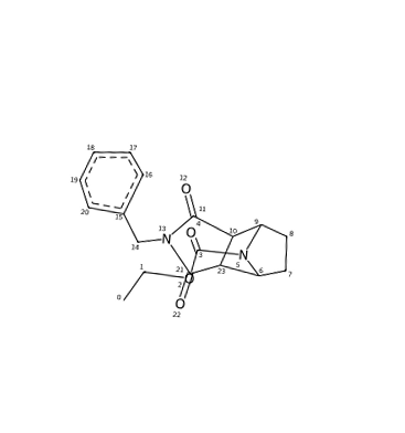 CCOC(=O)N1C2CCC1C1C(=O)N(Cc3ccccc3)C(=O)C12